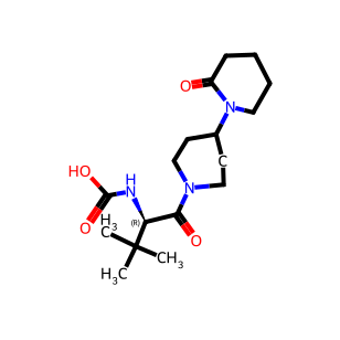 CC(C)(C)[C@@H](NC(=O)O)C(=O)N1CCC(N2CCCCC2=O)CC1